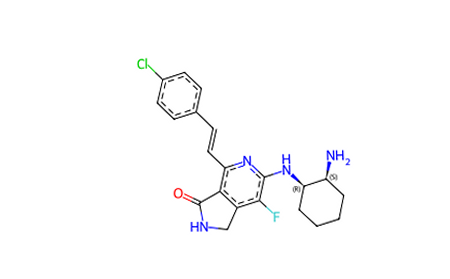 N[C@H]1CCCC[C@H]1Nc1nc(C=Cc2ccc(Cl)cc2)c2c(c1F)CNC2=O